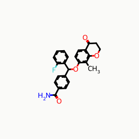 Cc1c(OC(c2ccc(C(N)=O)cc2)c2ccccc2F)ccc2c1OCCC2=O